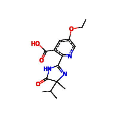 CCOc1cnc(C2=NC(C)(C(C)C)C(=O)N2)c(C(=O)O)c1